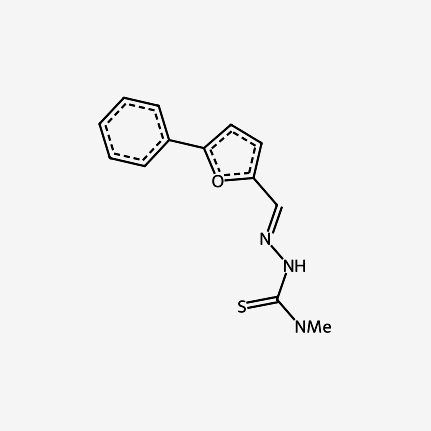 CNC(=S)NN=Cc1ccc(-c2ccccc2)o1